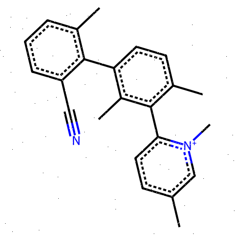 Cc1ccc(-c2c(C)ccc(-c3c(C)cccc3C#N)c2C)[n+](C)c1